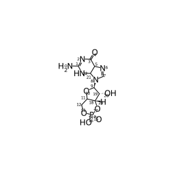 NC1=NC(=O)C2N=CN([C@@H]3OC4COP(=O)(O)O[C@H]4[C@H]3O)C2N1